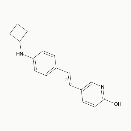 Oc1ccc(/C=C/c2ccc(NC3CCC3)cc2)cn1